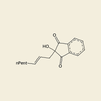 CCCCC/C=C/CC1(O)C(=O)c2ccccc2C1=O